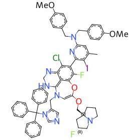 COc1ccc(CN(Cc2ccc(OC)cc2)c2cc(C)c(I)c(-c3c(F)c4c5c(c3Cl)=NCNC=5N(Cc3cncn3C(c3ccccc3)(c3ccccc3)c3ccccc3)C=C(OC[C@@]35CCCN3C[C@H](F)C5)O4)n2)cc1